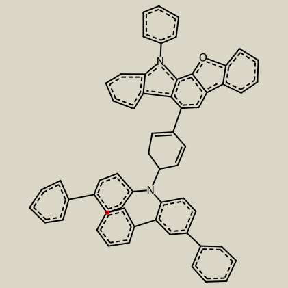 C1=CC(N(c2ccc(-c3ccccc3)cc2)c2ccc(-c3ccccc3)cc2-c2ccccc2)CC=C1c1cc2c3ccccc3oc2c2c1c1ccccc1n2-c1ccccc1